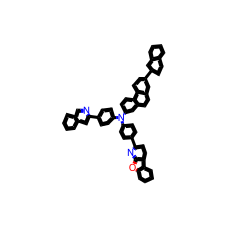 c1ccc2cc(-c3ccc4c(ccc5cc(N(c6ccc(-c7cc8ccccc8cn7)cc6)c6ccc(-c7ccc8c(n7)oc7ccccc78)cc6)ccc54)c3)ccc2c1